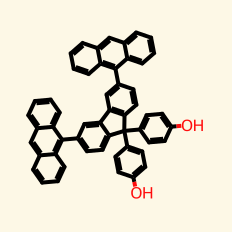 Oc1ccc(C2(c3ccc(O)cc3)c3ccc(-c4c5ccccc5cc5ccccc45)cc3-c3cc(-c4c5ccccc5cc5ccccc45)ccc32)cc1